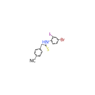 N#Cc1ccc(CC(=S)Nc2ccc(Br)cc2I)cc1